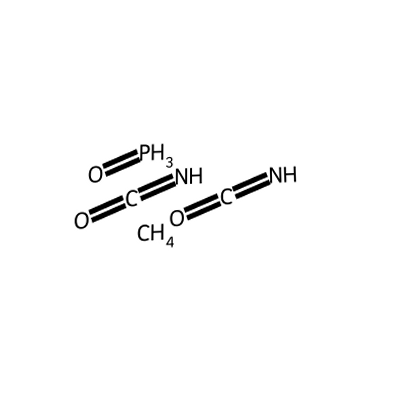 C.N=C=O.N=C=O.O=[PH3]